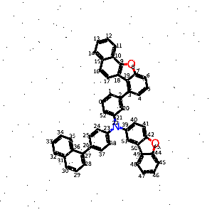 c1cc(-c2cccc3oc4c5ccccc5ccc4c23)cc(N(c2ccc(-c3cccc4ccccc34)cc2)c2ccc3oc4ccccc4c3c2)c1